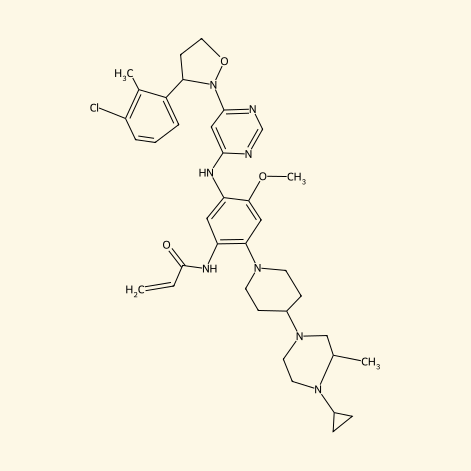 C=CC(=O)Nc1cc(Nc2cc(N3OCCC3c3cccc(Cl)c3C)ncn2)c(OC)cc1N1CCC(N2CCN(C3CC3)C(C)C2)CC1